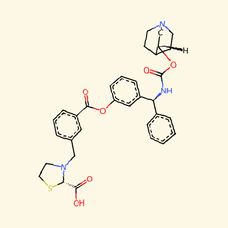 O=C(N[C@@H](c1ccccc1)c1cccc(OC(=O)c2cccc(CN3CCS[C@H]3C(=O)O)c2)c1)O[C@H]1CN2CCC1CC2